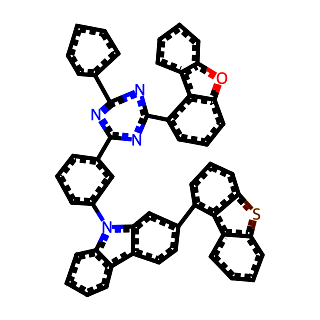 c1ccc(-c2nc(-c3cccc(-n4c5ccccc5c5ccc(-c6cccc7sc8ccccc8c67)cc54)c3)nc(-c3cccc4oc5ccccc5c34)n2)cc1